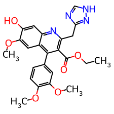 CCOC(=O)c1c(Cc2nc[nH]n2)nc2cc(O)c(OC)cc2c1-c1ccc(OC)c(OC)c1